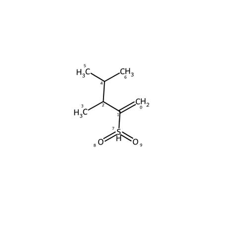 C=C(C(C)C(C)C)[SH](=O)=O